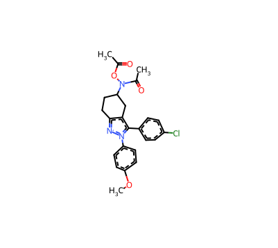 COc1ccc(-n2nc3c(c2-c2ccc(Cl)cc2)CC(N(OC(C)=O)C(C)=O)CC3)cc1